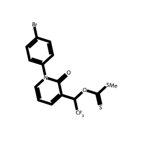 CSC(=S)OC(c1cccn(-c2ccc(Br)cc2)c1=O)C(F)(F)F